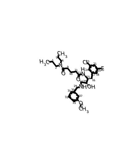 CCCN(CCC)C(=O)CCCC(=O)N[C@@H](Cc1cc(F)cc(Cl)c1)[C@H](O)CNCc1cccc(OC)c1